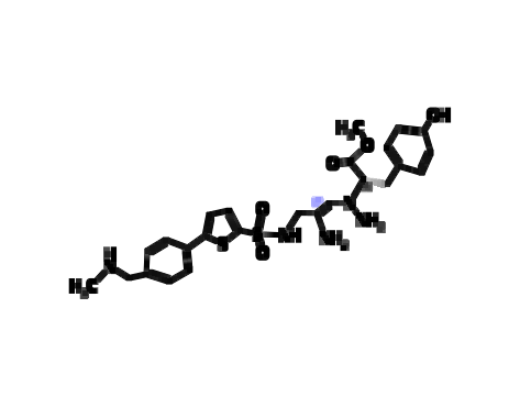 CNCc1ccc(-c2ccc(S(=O)(=O)NC/C(N)=C/N(N)[C@@H](Cc3ccc(O)cc3)C(=O)OC)s2)cc1